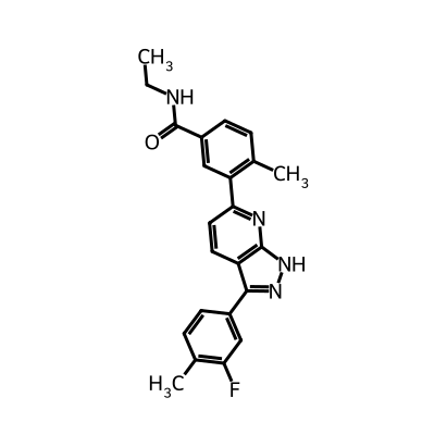 CCNC(=O)c1ccc(C)c(-c2ccc3c(-c4ccc(C)c(F)c4)n[nH]c3n2)c1